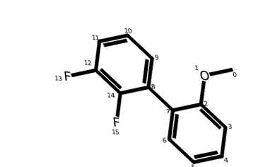 COc1ccccc1-c1cccc(F)c1F